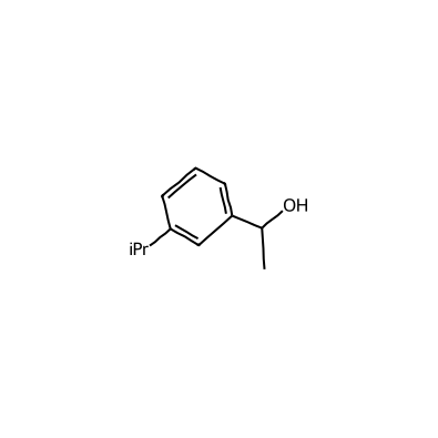 CC(C)c1cccc(C(C)O)c1